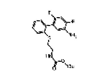 CC(C)(C)OC(=O)NCCSc1ccccc1-c1cc(N)c(F)cc1F